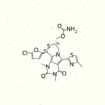 Cc1csc(-c2c3c(=O)n(C)c(=O)n(C)c3c3n2C[C@@H](COC(N)=O)S[C@@H]3c2ccc(Cl)o2)n1